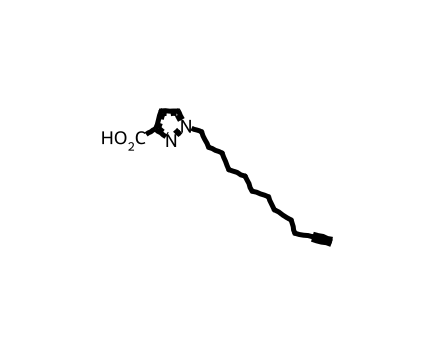 C#CCCCCCCCCCCn1ccc(C(=O)O)n1